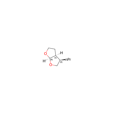 CCC[C@H]1CO[C@H]2OCC[C@@H]12